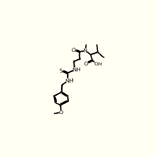 COc1ccc(CNC(=S)NCCC(=O)N(C)C(C(=O)O)C(C)C)cc1